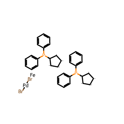 [Br][Pd][Br].[CH]1[CH][CH][C](P(c2ccccc2)c2ccccc2)[CH]1.[CH]1[CH][CH][C](P(c2ccccc2)c2ccccc2)[CH]1.[Fe]